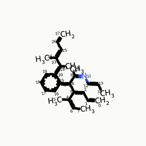 C=CC=C(/C(C)=C\C)C(/C(C)=N\C=C\C)=c1\cccc\c1=C(C)/C(C)=C/C=C